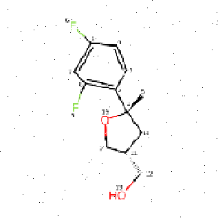 C[C@@]1(c2ccc(F)cc2F)C[C@H](CO)CO1